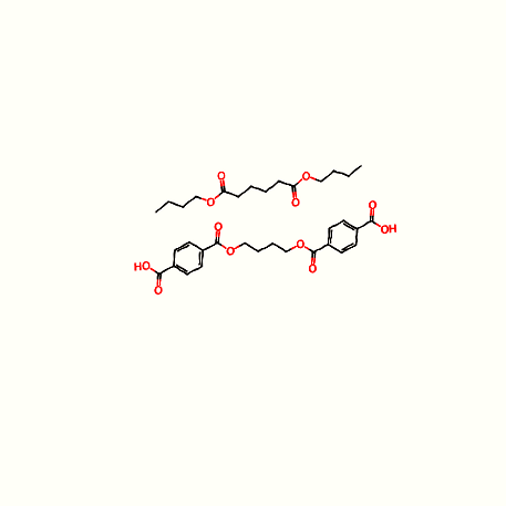 CCCCOC(=O)CCCCC(=O)OCCCC.O=C(O)c1ccc(C(=O)OCCCCOC(=O)c2ccc(C(=O)O)cc2)cc1